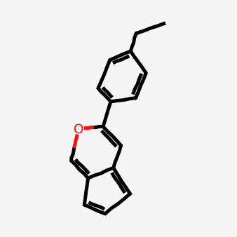 CCc1ccc(-c2cc3cccc-3co2)cc1